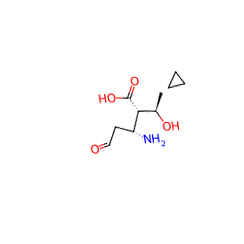 C1CC1.C[C@@H](O)[C@@H](C(=O)O)[C@H](N)CC=O